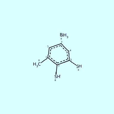 Cc1cccc(S)c1S.[BiH3]